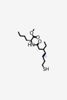 CCCC[C@H](NC(=O)CC(/C=C/CCS)CC)C(=O)OC